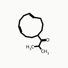 CC(C)C(=O)C1CC/C=C\CC/C=C/CCC1